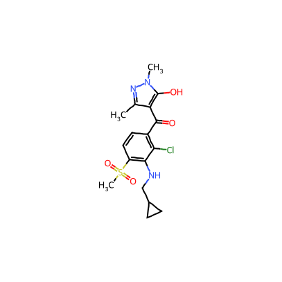 Cc1nn(C)c(O)c1C(=O)c1ccc(S(C)(=O)=O)c(NCC2CC2)c1Cl